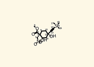 COC(=O)[C@]1(C[N+](=O)[O-])CC[C@](O)(C#C[Si](C)(C)C)C[C@H]1O